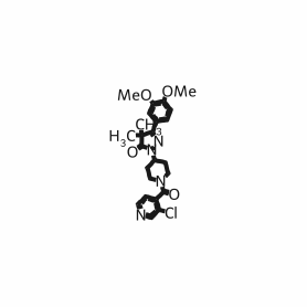 COc1ccc(C2=NN(C3CCN(C(=O)c4ccncc4Cl)CC3)C(=O)C2(C)C)cc1OC